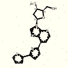 CC(=O)O[C@@H]1C[C@H](n2cnc3c(-c4ccc(-c5cccs5)s4)ccnc32)O[C@@H]1CO